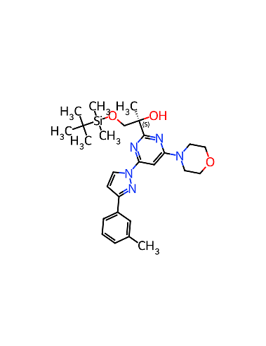 Cc1cccc(-c2ccn(-c3cc(N4CCOCC4)nc([C@](C)(O)CO[Si](C)(C)C(C)(C)C)n3)n2)c1